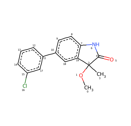 COC1(C)C(=O)Nc2ccc(-c3cccc(Cl)c3)cc21